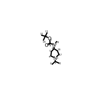 CC(C)N1CCC(N(C)C(=O)OC(C)(C)C)CC1